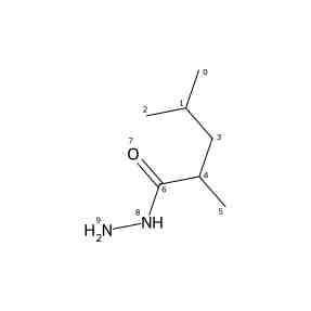 CC(C)CC(C)C(=O)NN